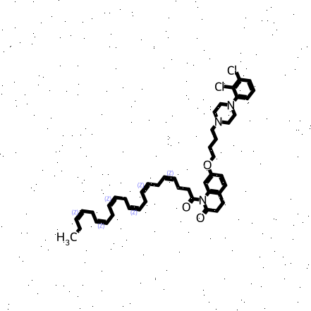 CC/C=C\C/C=C\C/C=C\C/C=C\C/C=C\C/C=C\CCC(=O)N1C(=O)CCc2ccc(OCCCCN3CCN(c4cccc(Cl)c4Cl)CC3)cc21